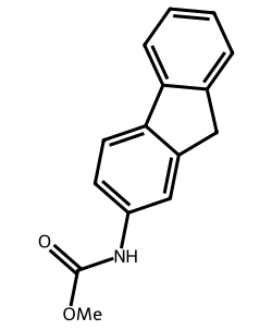 COC(=O)Nc1ccc2c(c1)Cc1ccccc1-2